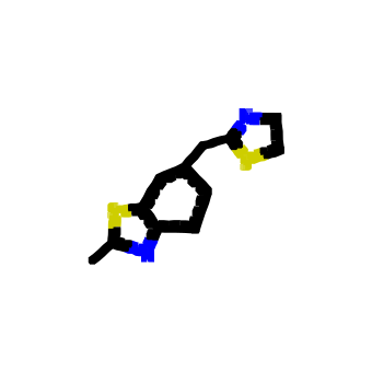 Cc1nc2ccc(Cc3nccs3)cc2s1